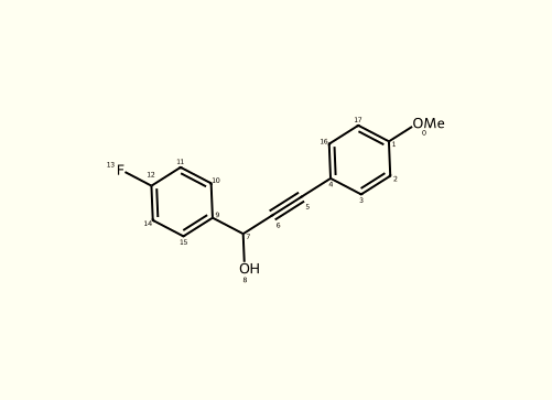 COc1ccc(C#CC(O)c2ccc(F)cc2)cc1